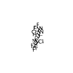 CC(COc1ncc(C(F)(F)F)cc1Cl)Nc1ncnc(C(F)F)c1Cl